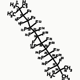 CC(C)(C)C(F)(F)C(F)(F)C(F)(F)C(F)(F)C(F)(F)C(F)(F)C(F)(F)C(F)(F)C(F)(F)C(F)(F)C(C)(C)C